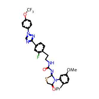 COc1ccc(C(C)C)c(N2C(=O)CSC2=NC(=O)NCCc2ccc(-c3ncn(-c4ccc(OC(F)(F)F)cc4)n3)cc2F)c1